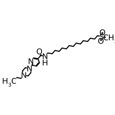 CCCN1CCN(c2ccc(C(=O)NCCCCCCCCCCCCCCCS(C)(=O)=O)cn2)CC1